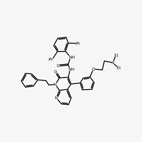 CCN(CC)CCOc1cccc(-c2c(NC(=O)Nc3c(C(C)C)cccc3C(C)C)c(=O)n(CCc3ccccc3)c3ncccc23)c1